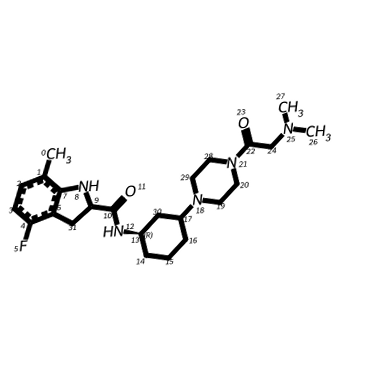 Cc1ccc(F)c2c1NC(C(=O)N[C@@H]1CCCC(N3CCN(C(=O)CN(C)C)CC3)C1)C2